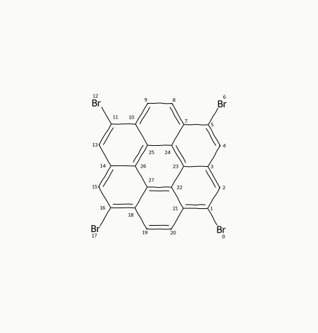 Brc1cc2cc(Br)c3ccc4c(Br)cc5cc(Br)c6ccc1c1c2c3c4c5c61